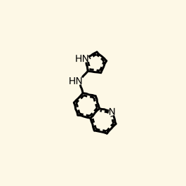 c1c[nH]c(Nc2ccc3cccnc3c2)c1